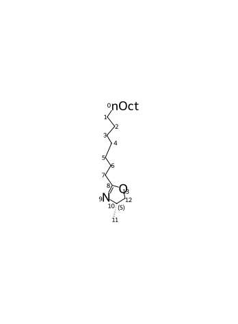 CCCCCCCCCCCCCCCC1=N[C@@H](C)CO1